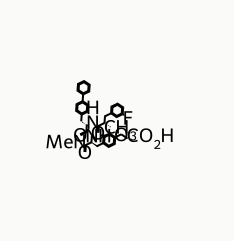 CNC(=O)[C@H](Cc1ccc(OCC(=O)O)cc1)NC(=O)[C@H](Cc1ccc(-c2ccccc2)cc1)NC(=O)[C@@H](C)Cc1cccc(F)c1